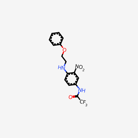 O=C(Nc1ccc(NCCOc2ccccc2)c([N+](=O)[O-])c1)C(F)(F)F